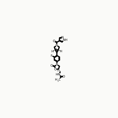 CC(=O)NC[C@H]1CN(c2ccc(C3[C@H]4CN(C(=O)c5cn[nH]c5)C[C@@H]34)c(F)c2)C(=O)O1